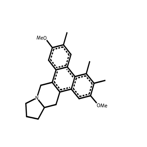 COc1cc2c3c(c4cc(OC)c(C)c(C)c4c2cc1C)CC1CCCN1C3